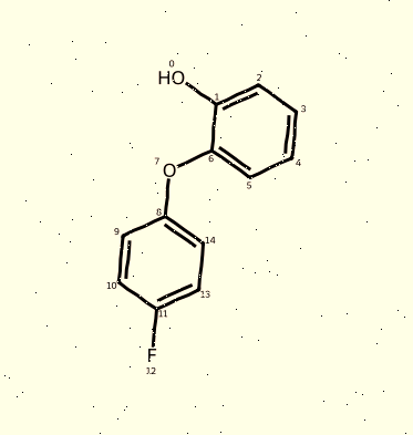 Oc1ccccc1Oc1ccc(F)cc1